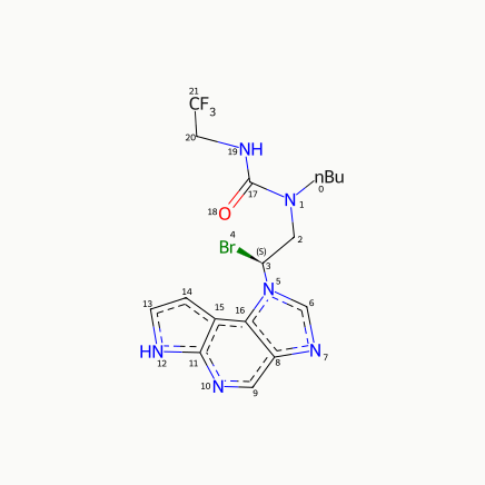 CCCCN(C[C@H](Br)n1cnc2cnc3[nH]ccc3c21)C(=O)NCC(F)(F)F